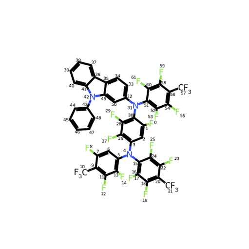 Fc1cc(N(c2cc(F)c(C(F)(F)F)c(F)c2F)c2c(F)c(F)c(C(F)(F)F)c(F)c2F)c(F)c(F)c1N(c1ccc2c3ccccc3n(-c3ccccc3)c2c1)c1c(F)c(F)c(C(F)(F)F)c(F)c1F